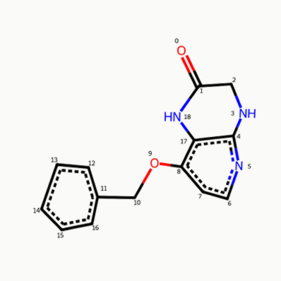 O=C1CNc2nccc(OCc3ccccc3)c2N1